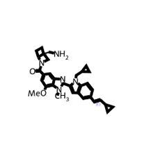 COc1cc(C(=O)N2C[C@@]3(CN)CCC23)cc2nc(-c3cc4cc(/C=C/C5CC5)ccc4n3CC3CC3)n(C)c12